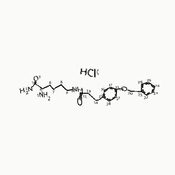 Cl.NC(=O)[C@@H](N)CCCCNC(=O)CCc1ccc(OCc2ccccc2)cc1